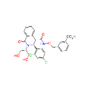 O=C(O)c1cccc(CONC(=O)[C@H]2c3ccccc3C(=O)N(C(CO)CO)[C@@H]2c2ccc(Cl)cc2Cl)c1